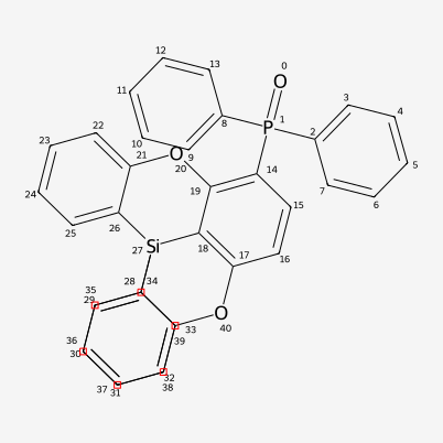 O=P(c1ccccc1)(c1ccccc1)c1ccc2c3c1Oc1ccccc1[Si]3(c1ccccc1)c1ccccc1O2